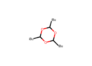 CCC(C)C1OC(C(C)CC)OC(C(C)CC)O1